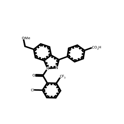 COCc1ccc2c(-c3ccc(C(=O)O)cc3)nn(C(=O)c3c(Cl)cccc3C(F)(F)F)c2c1